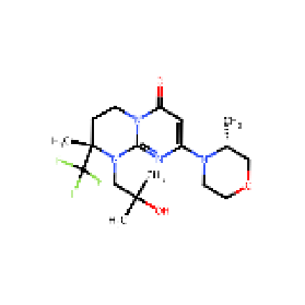 C[C@@H]1COCCN1c1cc(=O)n2c(n1)N(CC(C)(C)O)[C@](C)(C(F)(F)F)CC2